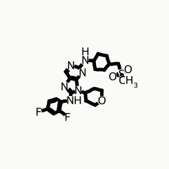 CS(=O)(=O)CC1CCC(Nc2ncc3nc(Nc4ccc(F)cc4F)n(C4CCOCC4)c3n2)CC1